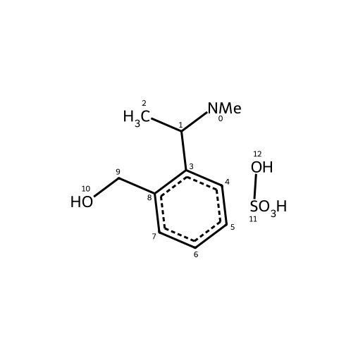 CNC(C)c1ccccc1CO.O=S(=O)(O)O